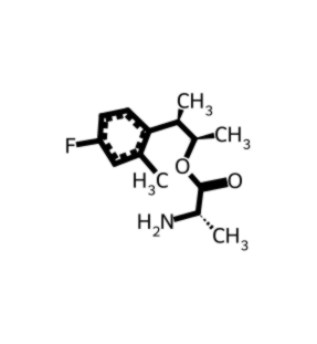 Cc1cc(F)ccc1[C@@H](C)[C@@H](C)OC(=O)[C@H](C)N